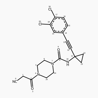 N#CCC(=O)N1CCN(C(=O)NC2(C#Cc3ccc(Cl)c(Cl)c3)CC2)CC1